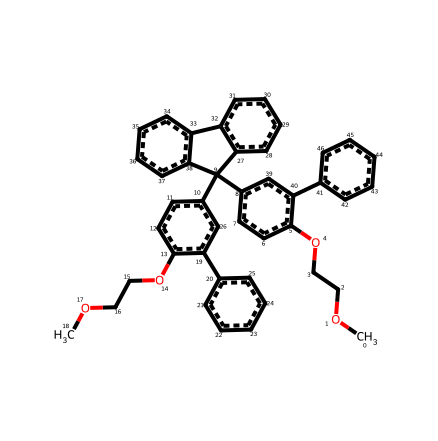 COCCOc1ccc(C2(c3ccc(OCCOC)c(-c4ccccc4)c3)c3ccccc3-c3ccccc32)cc1-c1ccccc1